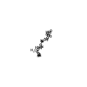 Cc1cc(Nc2ncnc3cc(-c4cnn(C5CCN(c6cc7c(cc6F)C(=O)N(C6CCC(=O)NC6=O)C7=O)CC5)c4)ccc23)ccc1Oc1ccn2ncnc2c1